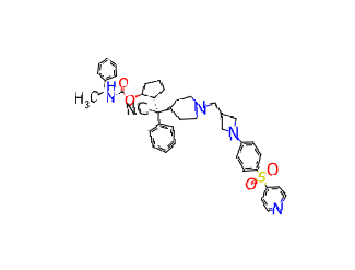 C[C@H](NC(=O)O[C@H]1CCC[C@@H]1C(C#N)(c1ccccc1)C1CCN(CC2CN(c3ccc(S(=O)(=O)c4ccncc4)cc3)C2)CC1)c1ccccc1